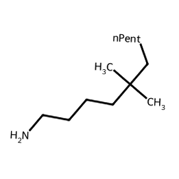 CCCCCCC(C)(C)CCCCN